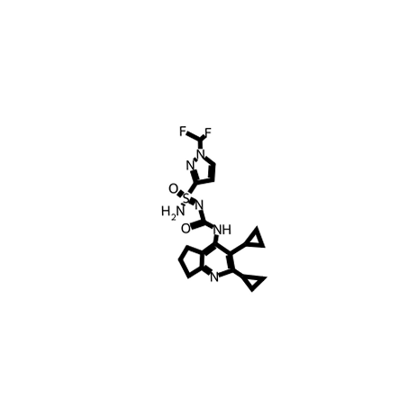 NS(=O)(=NC(=O)Nc1c2c(nc(C3CC3)c1C1CC1)CCC2)c1ccn(C(F)F)n1